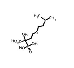 CN(C)CCSCCC(O)(C(=O)O)P(=O)(O)O